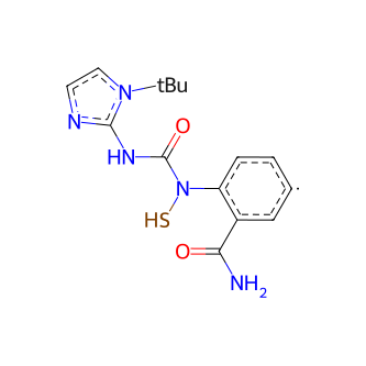 CC(C)(C)n1ccnc1NC(=O)N(S)c1cc[c]cc1C(N)=O